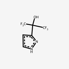 OC(c1cc[nH]n1)(C(F)(F)F)C(F)(F)F